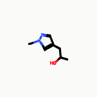 CC(O)Cc1cnn(C)c1